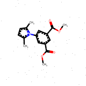 COC(=O)c1cc(C(=O)OC)cc(-n2c(C)ccc2C)c1